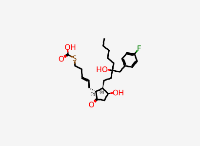 CCCCCC(O)(CC[C@H]1C(O)CC(=O)[C@@H]1CC=CCCSC(=O)O)Cc1ccc(F)cc1